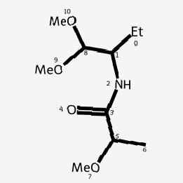 CCC(NC(=O)C(C)OC)C(OC)OC